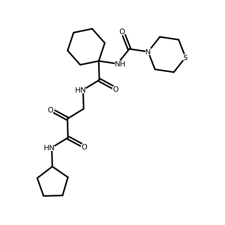 O=C(CNC(=O)C1(NC(=O)N2CCSCC2)CCCCC1)C(=O)NC1CCCC1